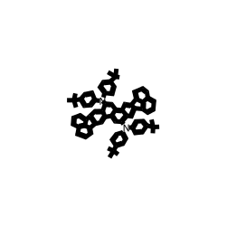 CC(C)(C)c1ccc(N(c2ccc(C(C)(C)C)cc2)c2cc3c4cc5c(cc4c(N(c4ccc(C(C)(C)C)cc4)c4ccc(C(C)(C)C)cc4)cc3c3cc4c(cc23)-c2cccc3cccc-4c23)-c2cccc3cccc-5c23)cc1